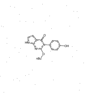 CCCCOc1nc2[nH]ccc2c(=O)n1-c1ccc(O)cc1